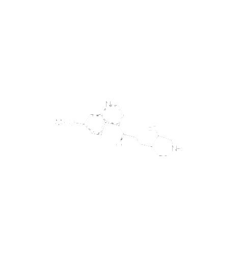 CCC1CN(Cl)CCC1CCC(=O)c1ccnc2cc(OC)ccc12